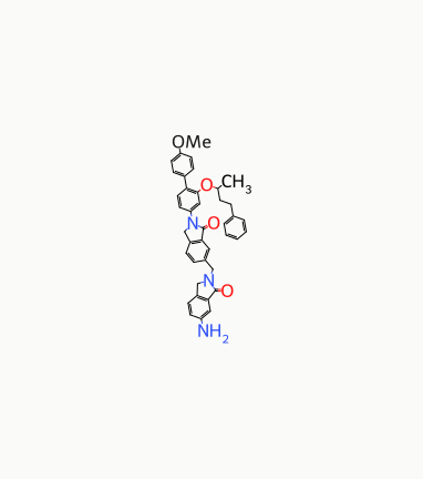 COc1ccc(-c2ccc(N3Cc4ccc(CN5Cc6ccc(N)cc6C5=O)cc4C3=O)cc2OC(C)CCc2ccccc2)cc1